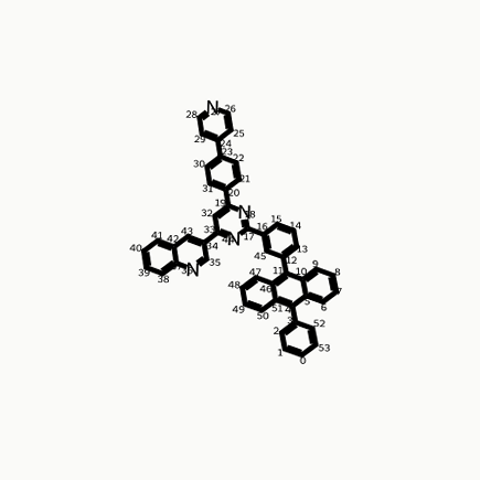 c1ccc(-c2c3ccccc3c(-c3cccc(-c4nc(-c5ccc(-c6ccncc6)cc5)cc(-c5cnc6ccccc6c5)n4)c3)c3ccccc23)cc1